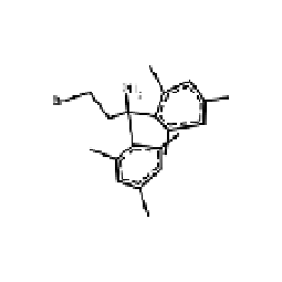 Cc1cc(C)c(C(P)(CCBr)c2c(C)cc(C)cc2C)c(C)c1